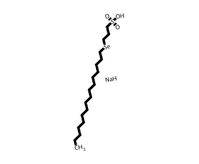 CCCCCCCCCCCCCCCC[Se]CCCS(=O)(=O)O.[NaH]